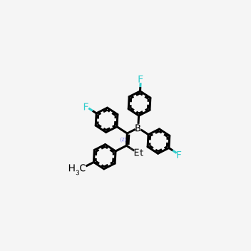 CC/C(=C(\B(c1ccc(F)cc1)c1ccc(F)cc1)c1ccc(F)cc1)c1ccc(C)cc1